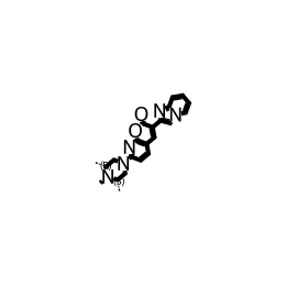 C[C@@H]1CN(c2ccc3cc(-c4cn5ccccc5n4)c(=O)oc3n2)C[C@H](C)N1C